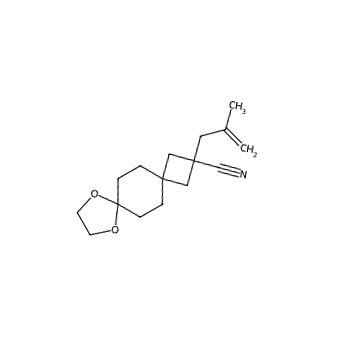 C=C(C)CC1(C#N)CC2(CCC3(CC2)OCCO3)C1